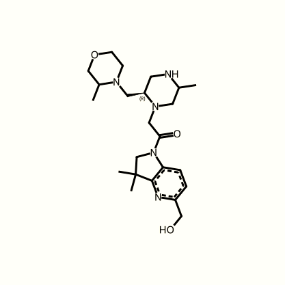 CC1CN(CC(=O)N2CC(C)(C)c3nc(CO)ccc32)[C@@H](CN2CCOCC2C)CN1